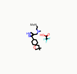 CNCCN(C)Cc1c[nH]nc1C1CCC2(CC1)CC(C)(C)CO2.O=C(O)C(F)(F)F